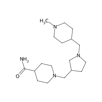 CN1CCC(CN2CCC(CN3CCC(C(N)=O)CC3)C2)CC1